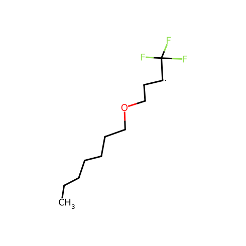 CCCCCCCOCC[CH]C(F)(F)F